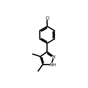 Cc1[nH]nc(-c2ccc(Cl)cc2)c1C